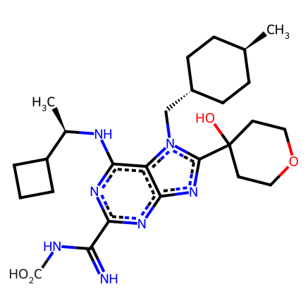 C[C@@H](Nc1nc(C(=N)NC(=O)O)nc2nc(C3(O)CCOCC3)n(C[C@H]3CC[C@H](C)CC3)c12)C1CCC1